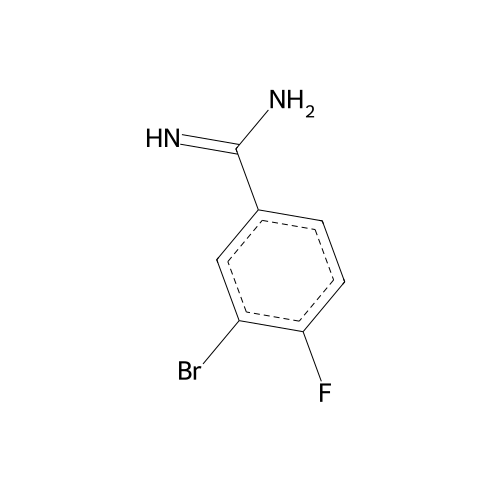 N=C(N)c1ccc(F)c(Br)c1